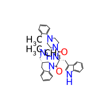 Cc1ccccc1N1CCN(C(=O)N[C@H](Cc2c[nH]c3ccccc23)C(=O)N2C[C@@H](CN(C)C)Cc3ccccc32)CC1